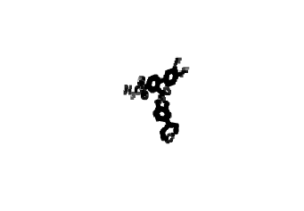 CS(=O)(=O)c1ccc(-c2ccc(F)c(F)c2)c(C(=O)N2Cc3ccc(C4CCOCC4)cc3C2)c1